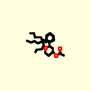 CCC[CH2][Sn]([CH2]CCC)([CH2]CCC)[c]1ccccc1C1CC(OC(C)=O)CCO1